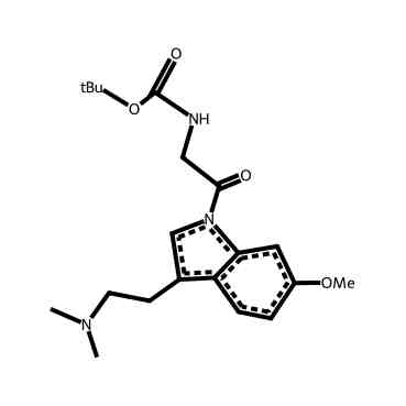 COc1ccc2c(CCN(C)C)cn(C(=O)CNC(=O)OC(C)(C)C)c2c1